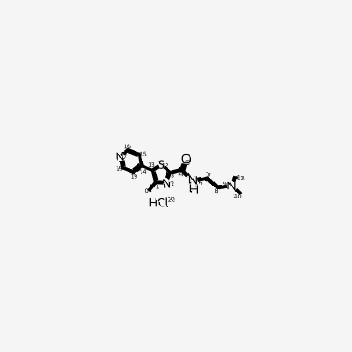 Cc1nc(C(=O)NCCN(C)C)sc1-c1ccncc1.Cl